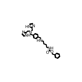 O=C(NCCCCNCc1ccc(CN(Cc2ncc[nH]2)Cc2ncc[nH]2)cc1)OCc1ccccc1